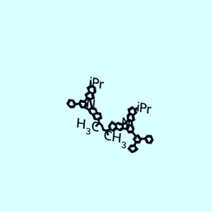 CC(C)c1ccc2cc3c(cc2c1)c1cc(-c2ccccc2)cc2c4cc5cc(C(C)CCC(C)c6ccc7cc8c(cc7c6)c6cc(-c7cc(-c9ccccc9)cc(-c9ccccc9)c7)cc7c9cc%10cc(C(C)C)ccc%10cc9n8c76)ccc5cc4n3c12